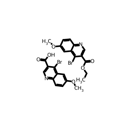 CCOC(=O)c1cnc2ccc(OC)cc2c1Br.COc1ccc2ncc(C(=O)O)c(Br)c2c1